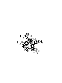 C=CC(=O)Nc1cc(Nc2ncnc(N3CC(C)(C)c4nc(-c5cnn(C)c5)ccc43)n2)c(OC)cc1N(C)CCN(C)C